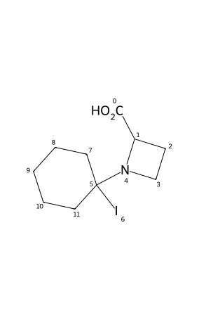 O=C(O)C1CCN1C1(I)CCCCC1